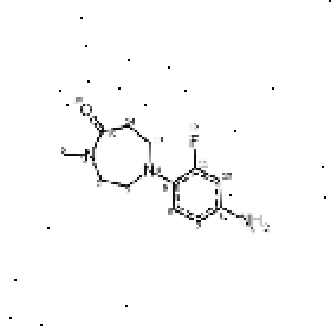 CN1CCN(c2ccc(N)cc2F)CCC1=O